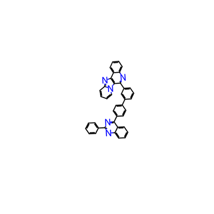 c1ccc(-c2nc(-c3ccc(-c4cccc(-c5nc6ccccc6c6nc7ccccn7c56)c4)cc3)c3ccccc3n2)cc1